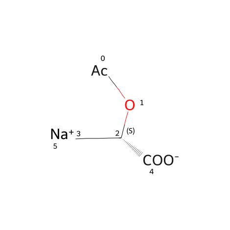 CC(=O)O[C@@H](C)C(=O)[O-].[Na+]